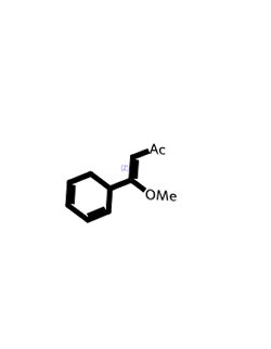 CO/C(=C\C(C)=O)C1C=CC=CC1